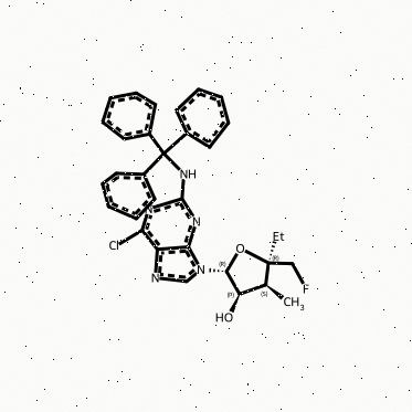 CC[C@@]1(CF)O[C@@H](n2cnc3c(Cl)nc(NC(c4ccccc4)(c4ccccc4)c4ccccc4)nc32)[C@H](O)[C@@H]1C